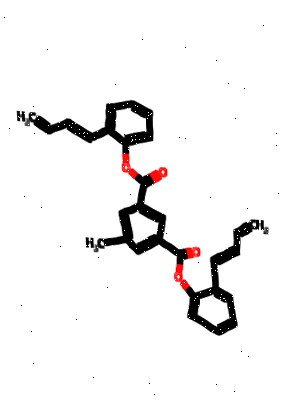 C=C/C=C/c1ccccc1OC(=O)c1cc(C)cc(C(=O)Oc2ccccc2/C=C/C=C)c1